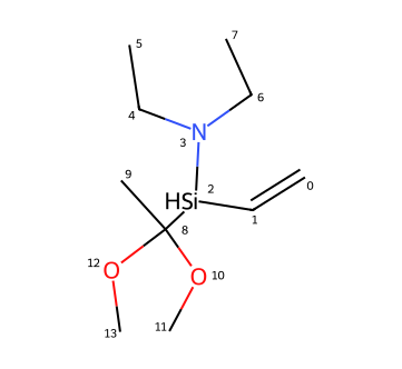 C=C[SiH](N(CC)CC)C(C)(OC)OC